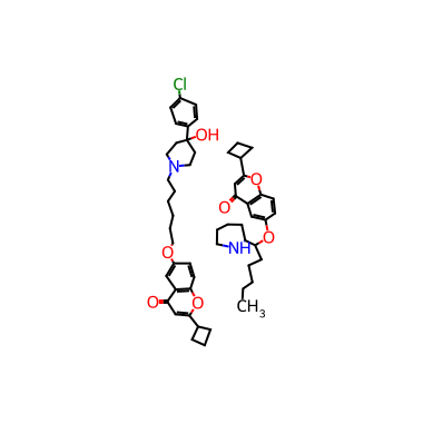 CCCCCC(Oc1ccc2oc(C3CCC3)cc(=O)c2c1)C1CCCCN1.O=c1cc(C2CCC2)oc2ccc(OCCCCCCN3CCC(O)(c4ccc(Cl)cc4)CC3)cc12